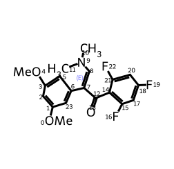 COc1cc(OC)cc(/C(=C\N(C)C)C(=O)c2c(F)cc(F)cc2F)c1